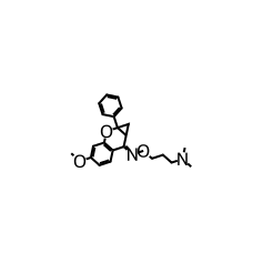 COc1ccc2c(c1)OC1(c3ccccc3)CC1C2=NOCCCN(C)C